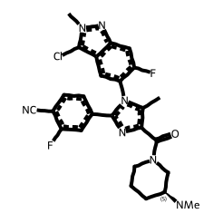 CN[C@H]1CCCN(C(=O)c2nc(-c3ccc(C#N)c(F)c3)n(-c3cc4c(Cl)n(C)nc4cc3F)c2C)C1